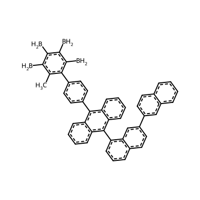 Bc1c(B)c(B)c(-c2ccc(-c3c4ccccc4c(-c4cccc5ccc(-c6ccc7ccccc7c6)cc45)c4ccccc34)cc2)c(C)c1B